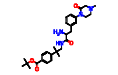 CN1CCN(c2cccc(CC(N)C(=O)NCC(C)(C)c3ccc(C(=O)OC(C)(C)C)cc3)c2)C(=O)C1